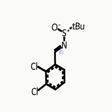 CC(C)(C)[S+]([O-])/N=C/c1cccc(Cl)c1Cl